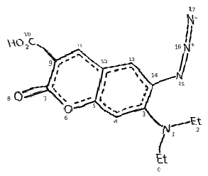 CCN(CC)c1cc2oc(=O)c(C(=O)O)cc2cc1N=[N+]=[N-]